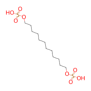 O=S(=O)(O)OCCCCCCCCCCCCOS(=O)(=O)O